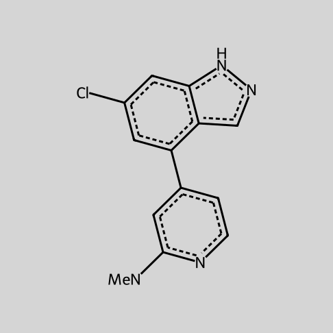 CNc1cc(-c2cc(Cl)cc3[nH]ncc23)ccn1